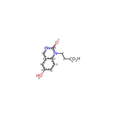 O=C(O)CCn1c(=O)ncc2cc(O)ccc21